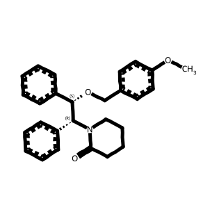 COc1ccc(CO[C@@H](c2ccccc2)[C@@H](c2ccccc2)N2CCCCC2=O)cc1